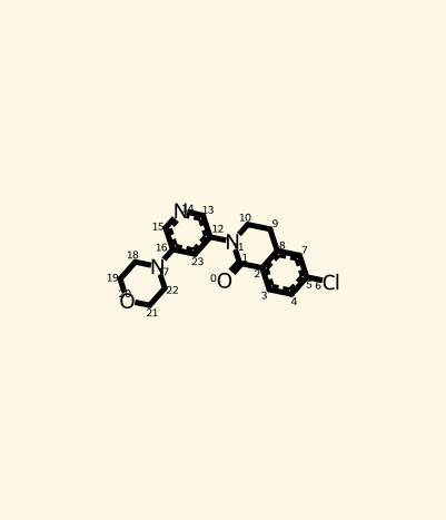 O=C1c2ccc(Cl)cc2CCN1c1cncc(N2CCOCC2)c1